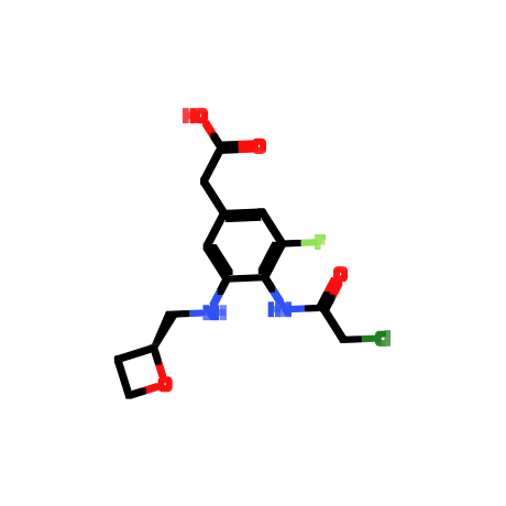 O=C(O)Cc1cc(F)c(NC(=O)CCl)c(NC[C@@H]2CCO2)c1